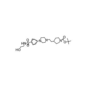 CC(C)(C)OC(=O)N1CCC(CCN2CCN(c3ccc(S(=O)(=O)NCCO)cc3)CC2)CC1